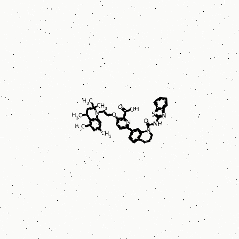 Cc1cc(C)c2c(c1)N(CCOc1ccc(-c3ccc4c(c3)N(C(=O)Nc3nc5ccccc5s3)CCC4)nc1C(=O)O)C(C)(C)CC2C